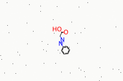 O=C(O)C/N=N/c1ccccc1